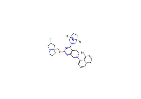 CCc1cccc2cccc(N3CCc4c(nc(OC[C@@]56CCCN5C[C@H](F)C6)nc4N4C[C@H]5CC[C@@H](C4)N5)C3)c12